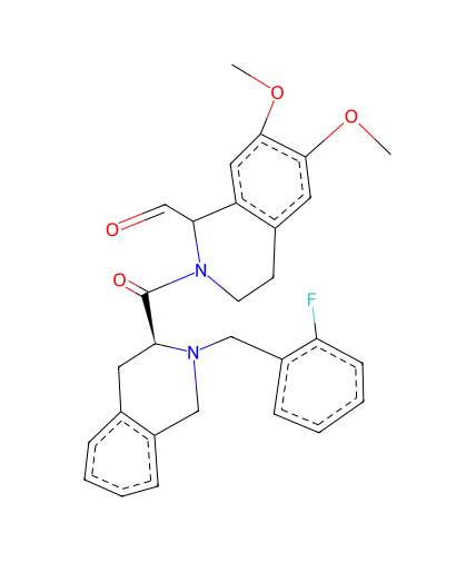 COc1cc2c(cc1OC)C(C=O)N(C(=O)[C@@H]1Cc3ccccc3CN1Cc1ccccc1F)CC2